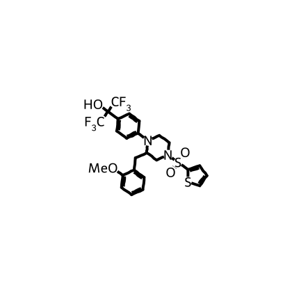 COc1ccccc1CC1CN(S(=O)(=O)c2cccs2)CCN1c1ccc(C(O)(C(F)(F)F)C(F)(F)F)cc1